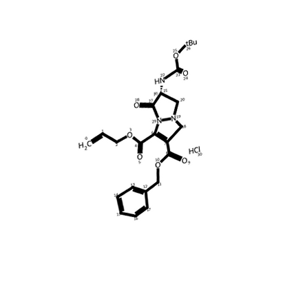 C=CCOC(=O)C1=C(C(=O)OCc2ccccc2)CN2C[C@@H](NC(=O)OC(C)(C)C)C(=O)N12.Cl